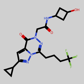 O=C(Cn1nc(CCCC(F)(F)F)n2nc(C3CC3)cc2c1=O)NC1CC(O)C1